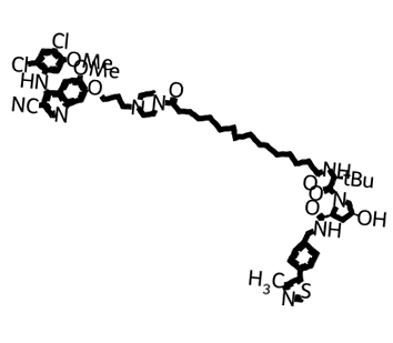 COc1cc(Nc2c(C#N)cnc3cc(OCCCN4CCN(C(=O)CCCCCCCCCCCCCCC(=O)N[C@H](C(=O)N5C[C@H](O)C[C@H]5C(=O)NCc5ccc(-c6scnc6C)cc5)C(C)(C)C)CC4)c(OC)cc23)c(Cl)cc1Cl